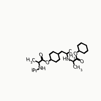 CC(C)NC(C)C(=O)OC1CCC(CC(C)NC(C)C(=O)OC2CCCCC2)CC1